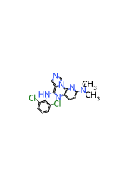 CN(C)c1ccc2nc(Nc3c(Cl)cccc3Cl)c3cncn3c2n1